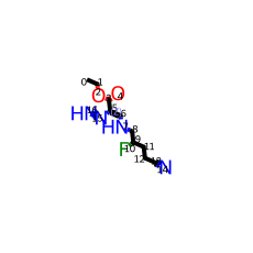 CCOC(=O)/C(=C/NCC(F)CCC#N)N=N